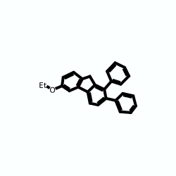 CCOc1ccc2c(c1)-c1ccc(-c3ccccc3)c(-c3ccccc3)c1C2